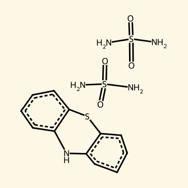 NS(N)(=O)=O.NS(N)(=O)=O.c1ccc2c(c1)Nc1ccccc1S2